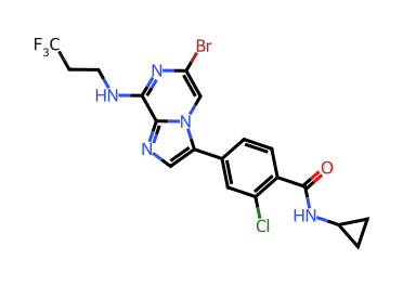 O=C(NC1CC1)c1ccc(-c2cnc3c(NCCC(F)(F)F)nc(Br)cn23)cc1Cl